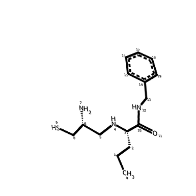 CCC[C@H](NC[C@@H](N)CS)C(=O)NCc1ccccc1